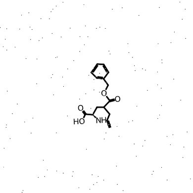 C=CCC(C[C@@H](N)C(=O)O)C(=O)OCc1ccccc1